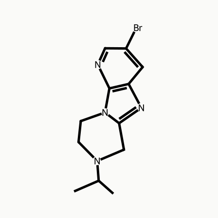 CC(C)N1CCn2c(nc3cc(Br)cnc32)C1